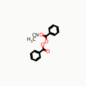 CC#N.O=C(OOC(=O)c1ccccc1)c1ccccc1